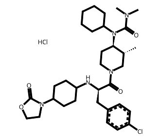 C[C@@H]1CN(C(=O)[C@@H](Cc2ccc(Cl)cc2)NC2CCC(N3CCOC3=O)CC2)CC[C@H]1N(C(=O)N(C)C)C1CCCCC1.Cl